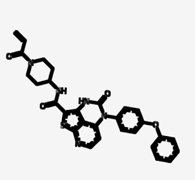 C=CC(=O)N1CCC(NC(=O)c2sc3nccc4c3c2NC(=O)N4c2ccc(Oc3ccccc3)cc2)CC1